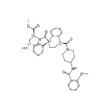 COC(=O)[C@@H]1C[C@@H](O)CN1C(=O)[C@@]1(c2ccccc2)CC[C@H](C(=O)N2CCC(NC(=O)c3ccccc3OC)CC2)c2ccccc21